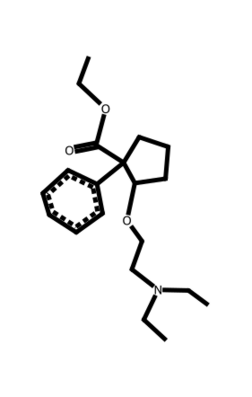 CCOC(=O)C1(c2ccccc2)CCCC1OCCN(CC)CC